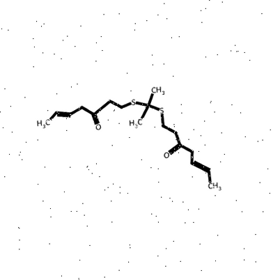 CC=CCC(=O)CCSC(C)(C)SCCC(=O)CC=CC